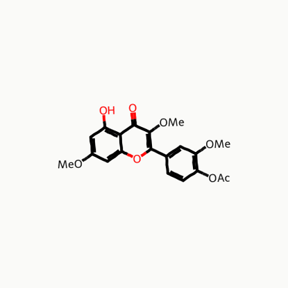 COc1cc(O)c2c(=O)c(OC)c(-c3ccc(OC(C)=O)c(OC)c3)oc2c1